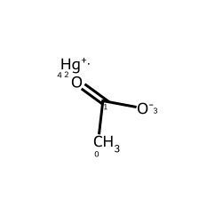 CC(=O)[O-].[Hg+]